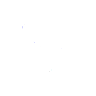 Cc1cc(N)nn1Cc1ncccc1F